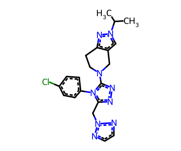 CC(C)n1cc2c(n1)CCN(c1nnc(Cn3nccn3)n1-c1ccc(Cl)cc1)C2